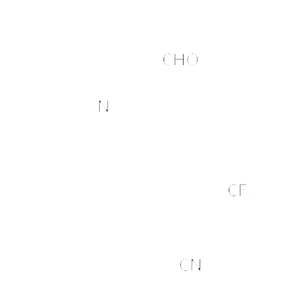 N#Cc1ccc(N2CCC[C@@H]2C=O)cc1C(F)(F)F